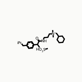 CC(C)Cc1ccc(C(C)C(=O)NCCC[N+](C)(C)CC2CCCCC2)cc1.CS(=O)(=O)O